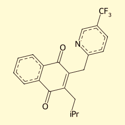 CC(C)CC1=C(Cc2ccc(C(F)(F)F)cn2)C(=O)c2ccccc2C1=O